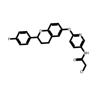 O=C(CCl)Nc1ccc(Oc2ccc3c(c2)CCC(c2ccc(F)cc2)O3)nc1